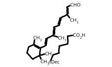 CC1=C(/C=C/C(C)=C/C=C/C(C)=C/C=O)C(C)(C)CCC1.CCCCCCCCCCCCCCCC(=O)O